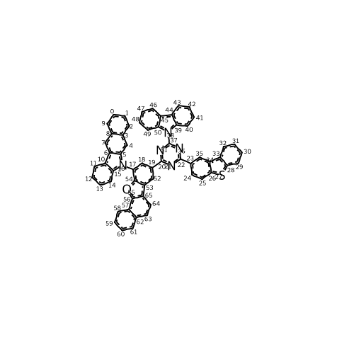 c1ccc2cc3c(cc2c1)c1ccccc1n3-c1cc(-c2nc(-c3ccc4sc5ccccc5c4c3)nc(-n3c4ccccc4c4ccccc43)n2)cc2c1oc1c3ccccc3ccc21